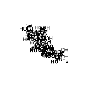 CC1C(O)[C@H](O)[C@H](CO)O[C@H]1O[C@@H]1C(O)[C@H](O)C(CO)O[C@@H]1OCC1O[C@@H](O[C@@H]2C(CO)O[C@@H](O[C@@H]3C(CO)O[C@@H](C)[C@@H](C)C3O)[C@@H](C)C2O)C(O)[C@@H](O[C@H]2O[C@H](CO)[C@@H](O)C(O)C2O[C@@H]2OC(CO)[C@@H](O[C@@H]3OC(CO)[C@H](O)C(O[C@]4(C(=O)O)C[C@@H](O)[C@@H](N)C([C@@H](O)[C@H](O)CO)O4)[C@@H]3O)C(O)[C@@H]2C)[C@@H]1O